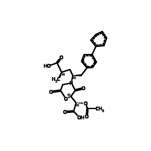 CC(=O)O[C@H](C(=O)O)[C@@H]1OC(=O)CN([C@H](Cc2ccc(-c3ccccc3)cc2)C[C@@H](C)C(=O)O)C1=O